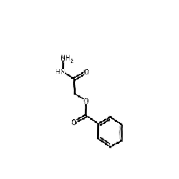 NNC(=O)COC(=O)c1ccccc1